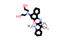 CN1c2ccccc2C(C)(C)C12C=Nc1c(cc(N(CCO)CCO)c3ccccc13)O2